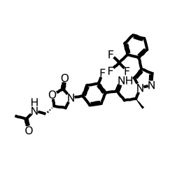 CC(=O)NC[C@H]1CN(c2ccc(C(=N)C[C@H](C)n3cc(-c4ccccc4C(F)(F)F)cn3)c(F)c2)C(=O)O1